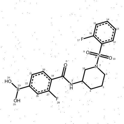 O=C(NC1CCCN(S(=O)(=O)c2ccccc2F)C1)c1ccc(B(O)O)cc1F